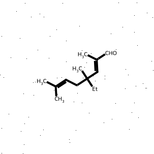 CCC(C)(C=C(C)C=O)CC=C(C)C